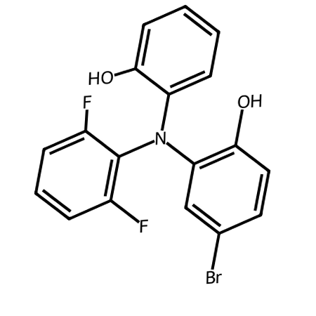 Oc1ccccc1N(c1cc(Br)ccc1O)c1c(F)cccc1F